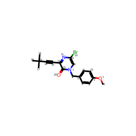 COc1ccc(Cn2cc(Br)nc(C#CC(C)(C)C)c2=O)cc1